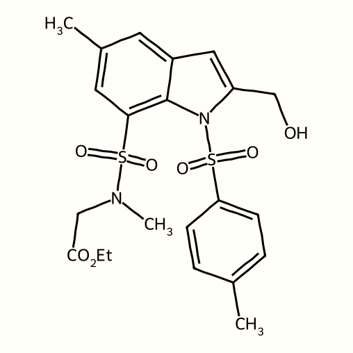 CCOC(=O)CN(C)S(=O)(=O)c1cc(C)cc2cc(CO)n(S(=O)(=O)c3ccc(C)cc3)c12